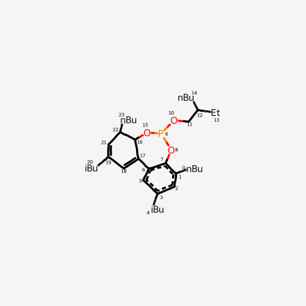 CCCCc1cc(C(C)CC)cc2c1OP(OCC(CC)CCCC)OC1C2=CC(C(C)CC)=CC1CCCC